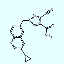 N#Cc1nn(Cc2ccc3ncc(C4CC4)cc3c2)cc1C(N)=O